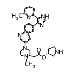 Cc1cccc(-c2[nH]cnc2-c2ccc3ncc(N4CCN(C)C(CC(=O)O[C@@H]5CCNC5)C4)cc3c2)n1